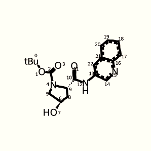 CC(C)(C)OC(=O)N1C[C@H](O)C[C@H]1C(=O)Nc1cnc2ccccc2c1